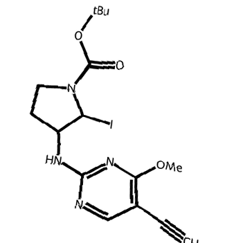 C#Cc1cnc(NC2CCN(C(=O)OC(C)(C)C)C2I)nc1OC